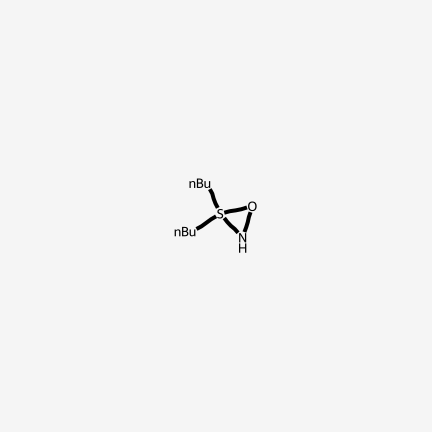 CCCCS1(CCCC)NO1